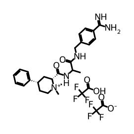 CC(NC(=O)[C@H]1C[C@@H](c2ccccc2)CC[N+]1(C)C)C(=O)NCc1ccc(C(=N)N)cc1.O=C(O)C(F)(F)F.O=C([O-])C(F)(F)F